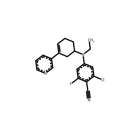 CCN(c1cc(F)c(C#N)c(Cl)c1)C1CCC=C(c2cccnc2)C1